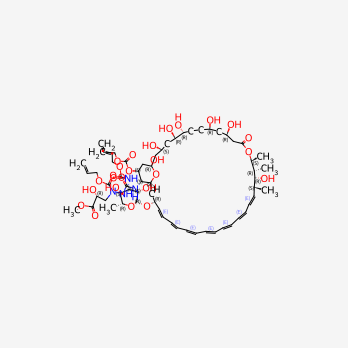 C=CCOC(=O)N[C@@H]1[C@H](O)[C@H](O[C@H]2/C=C/C=C/C=C/C=C/C=C/C=C/C=C/[C@H](C)[C@@H](O)[C@@H](C)[C@H](C)OC(=O)C[C@H](O)C[C@H](O)CC[C@@H](O)[C@H](O)C[C@H](O)C[C@]3(O)C[C@H](OC(=O)OCC=C)[C@@H](NC(=O)NN(C[C@@H](O)C(=O)OC)C(=O)OCC=C)[C@H](C2)O3)O[C@H](C)[C@H]1O